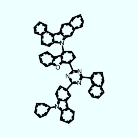 c1ccc(-n2c3ccccc3c3cc(-c4nc(-c5cccc6ccccc56)nc(-c5ccc(-n6c7cc8ccccc8cc7c7c8ccccc8ccc76)c6c5oc5ccccc56)n4)ccc32)cc1